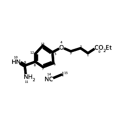 CCOC(=O)CCCOc1ccc(C(=N)N)cc1.N#CI